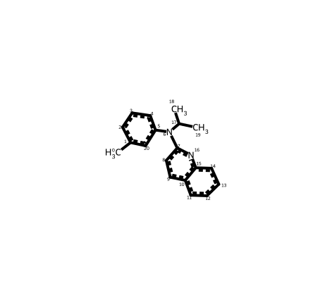 Cc1cccc(N(c2ccc3ccccc3n2)C(C)C)c1